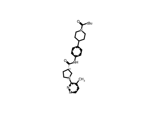 Cc1ccnnc1N1CC[C@H](C(=O)Nc2ccc(C3CCN(C(=O)C(C)(C)C)CC3)cc2)C1